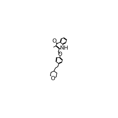 Cc1c(COc2ccc(CCC3CCOCC3)cc2)[nH]c2ccccc2c1=O